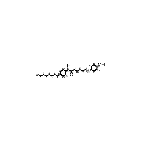 CCCCCCCCc1ccc(NC(=O)CCCCCSc2ccc(O)cc2)cc1